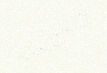 CCSc1nc(NCc2ccc(F)cc2)cc(C)c1C(=O)NCc1cccc(F)c1